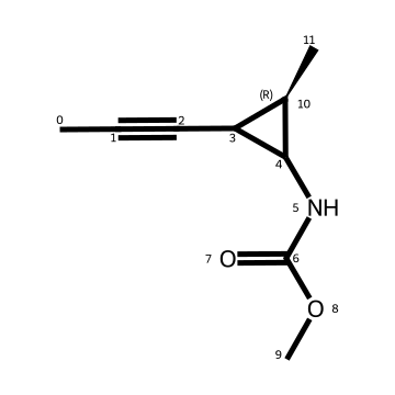 CC#CC1C(NC(=O)OC)[C@@H]1C